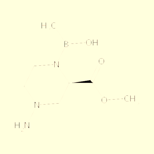 COC(=O)[C@H]1CN(N)CCN1B(C)O